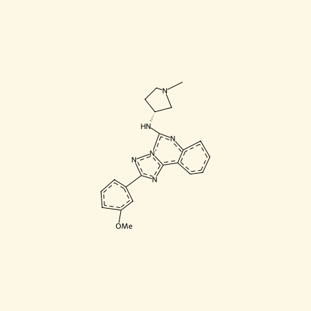 COc1cccc(-c2nc3c4ccccc4nc(N[C@@H]4CCN(C)C4)n3n2)c1